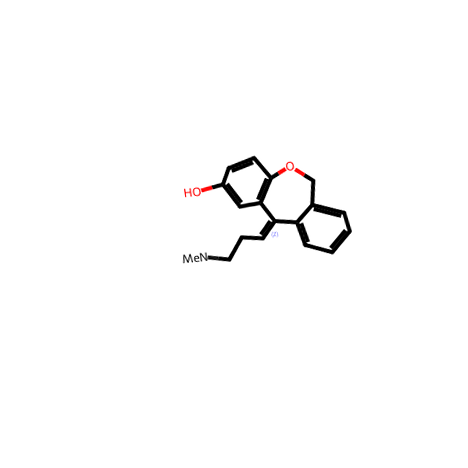 CNCC/C=C1/c2ccccc2COc2ccc(O)cc21